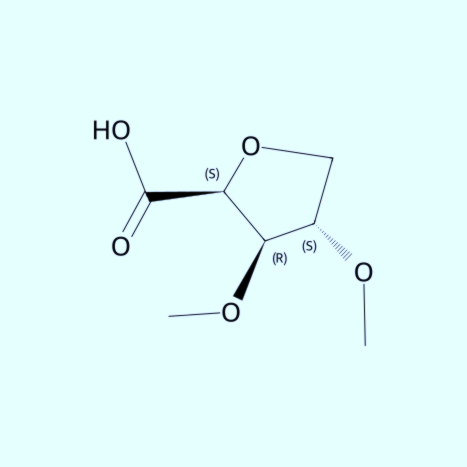 CO[C@@H]1[C@@H](OC)CO[C@@H]1C(=O)O